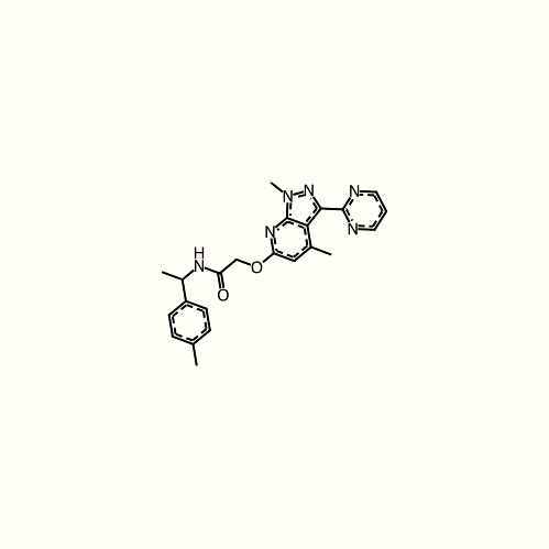 Cc1ccc(C(C)NC(=O)COc2cc(C)c3c(-c4ncccn4)nn(C)c3n2)cc1